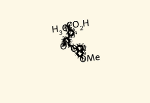 COc1ccc2c(OCCn3cc(-c4cccc(N(C)C(=O)O)c4)ccc3=O)ccnc2c1